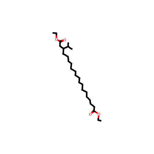 CCOC(=O)CCCCCCCCCCCCCCCCC(CC(=O)OCC)C(C)C